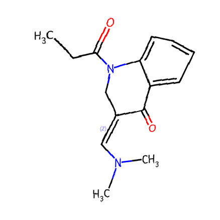 CCC(=O)N1C/C(=C/N(C)C)C(=O)c2ccccc21